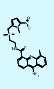 Cc1cccc2c(N)c3cccc(C(=O)NCC[N+](C)(C)Cc4ccc([N+](=O)[O-])n4C)c3nc12